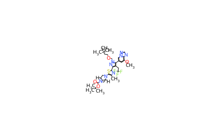 COc1cc(-c2c(CC(F)(F)F)c(-c3nc(C)c(N4C[C@@H]5C[C@H]4CN5C(=O)OC(C)(C)C)s3)nn2COCC[Si](C)(C)C)cn2ncnc12